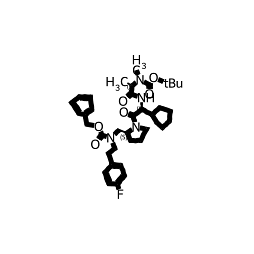 C[C@@H](C(=O)N[C@H](C(=O)N1CCC[C@H]1CN(CCc1ccc(F)cc1)C(=O)OCc1ccccc1)C1CCCCC1)N(C)C(=O)OC(C)(C)C